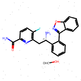 NC(=O)c1ccc(F)c(C[C@H](N)c2ccccc2-c2noc3ccccc23)n1.O=CO